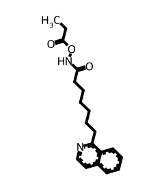 CCC(=O)ONC(=O)CCCCCCc1nccc2ccccc12